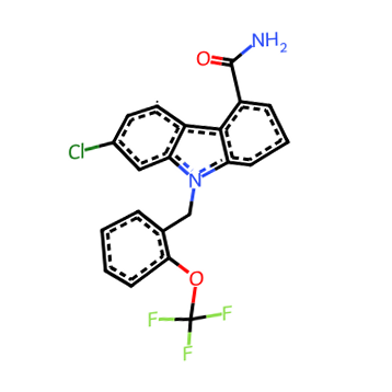 NC(=O)c1cccc2c1c1[c]cc(Cl)cc1n2Cc1ccccc1OC(F)(F)F